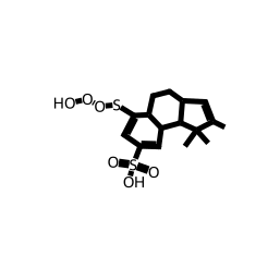 CC1=CC2CCC3C(SOOO)=CC(S(=O)(=O)O)=CC3C2C1(C)C